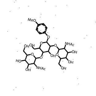 COc1ccc(OC2OC(CO)C(OC3OC(CO)C(O)C(O)C3NC(C)=O)C(O)C2OC2OC(CO)C(O)C(O)C2NC(C)=O)cc1